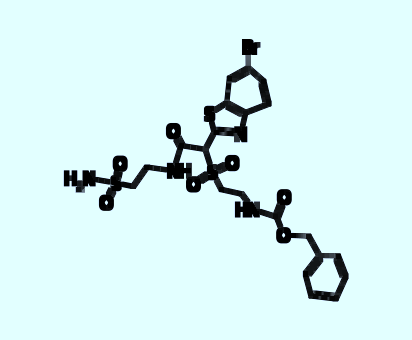 NS(=O)(=O)CCNC(=O)C(c1nc2ccc(Br)cc2s1)S(=O)(=O)CCNC(=O)OCc1ccccc1